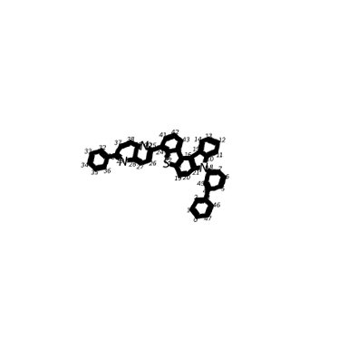 c1ccc(-c2cccc(-n3c4ccccc4c4c5c(ccc43)sc3c(-c4ccc6nc(-c7ccccc7)ccc6n4)cccc35)c2)cc1